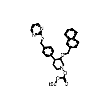 CC(C)(C)OC(=O)ON1CCC(c2ccc(CSc3ncccn3)cc2)C(OCc2ccc3ccccc3c2)C1